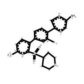 Nc1cnc(-c2ccc(-c3ccc(C(F)(F)F)nc3S(=O)(=O)C3CCOCC3)cc2F)cn1